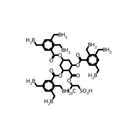 BCc1cc(CB)c(CB)c(C(=O)OC2CC(OC(=O)c3cc(CB)cc(CB)c3CB)C(C(=O)OC(CS(=O)(=O)O)C(F)(F)F)C(OC(=O)c3cc(CB)cc(CB)c3CB)C2)c1